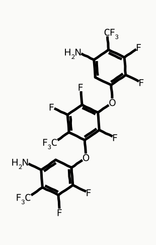 Nc1cc(Oc2c(F)c(F)c(C(F)(F)F)c(Oc3cc(N)c(C(F)(F)F)c(F)c3F)c2F)c(F)c(F)c1C(F)(F)F